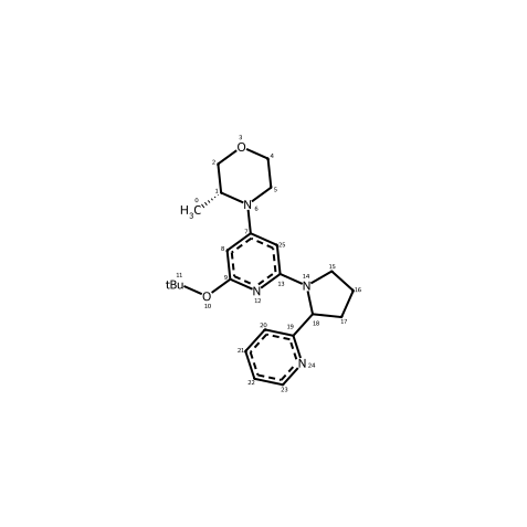 C[C@@H]1COCCN1c1cc(OC(C)(C)C)nc(N2CCCC2c2ccccn2)c1